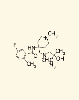 Cc1ccc(F)cc1C(=O)NC1(CN(C)CC(C)(C)O)CCN(C)CC1